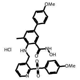 COc1ccc(-c2cc(C)c(NCc3cccnc3S(=O)(=O)c3ccc(OC)cc3)c(C(=O)NO)c2)cc1.Cl